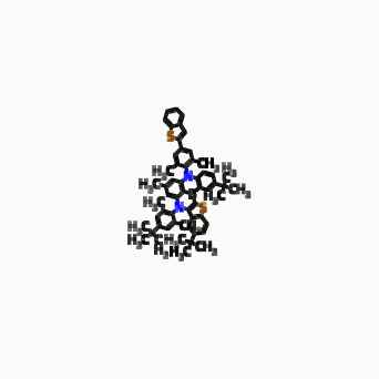 Cc1cc2c3c(c1)N(c1c(C)cc(C(C)(C)C)cc1C)c1c(sc4ccc(C(C)(C)C)cc14)B3c1cc(C(C)(C)C)ccc1N2c1c(C)cc(-c2cc3ccccc3s2)cc1C